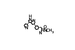 CNC(=O)/C(C#N)=C/c1cccc(-c2cnc3[nH]cc(-c4cccnc4)c3c2)c1